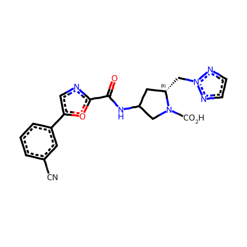 N#Cc1cccc(-c2cnc(C(=O)NC3C[C@H](Cn4nccn4)N(C(=O)O)C3)o2)c1